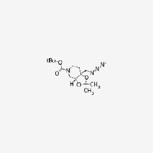 CC(C)(C)OC(=O)N1CC[C@]2(CN=[N+]=[N-])OC(C)(C)O[C@@H]2C1